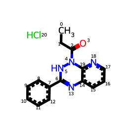 CCC(=O)N1NC(c2ccccc2)=Nc2cccnc21.Cl